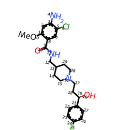 COc1cc(N)c(Cl)cc1C(=O)NCC1CCN(CC[C@@H](O)c2ccc(F)cc2)CC1